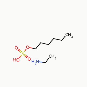 CCCCCCOS(=O)(=O)O.CCN